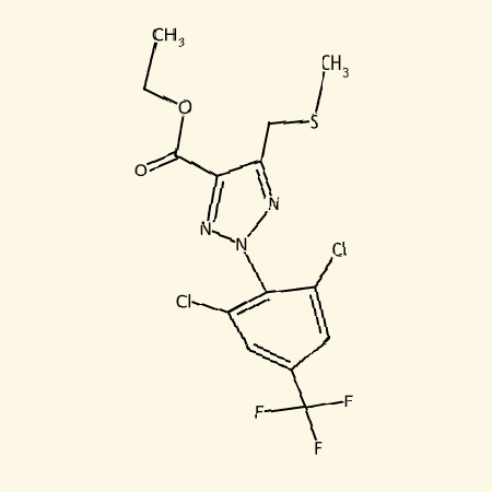 CCOC(=O)c1nn(-c2c(Cl)cc(C(F)(F)F)cc2Cl)nc1CSC